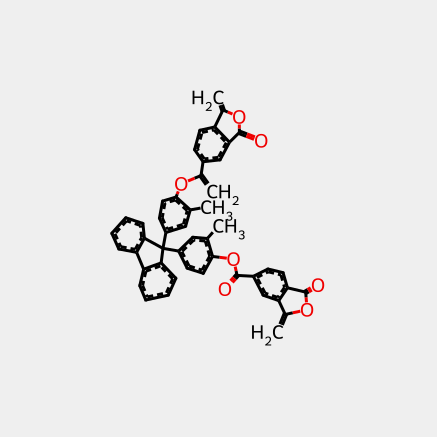 C=C(Oc1ccc(C2(c3ccc(OC(=O)c4ccc5c(c4)C(=C)OC5=O)c(C)c3)c3ccccc3-c3ccccc32)cc1C)c1ccc2c(c1)C(=O)OC2=C